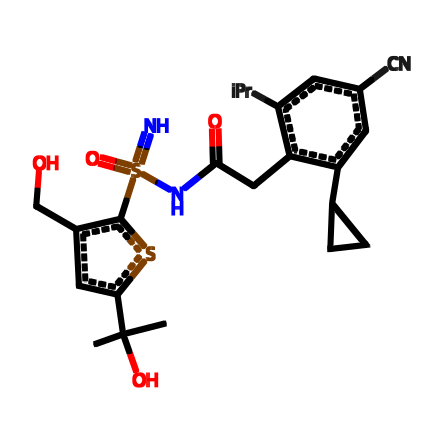 CC(C)c1cc(C#N)cc(C2CC2)c1CC(=O)NS(=N)(=O)c1sc(C(C)(C)O)cc1CO